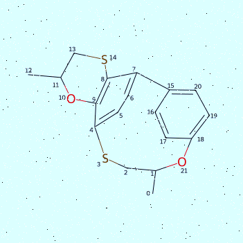 CC1CSc2ccc(c3c2OC(C)CS3)-c2ccc(cc2)O1